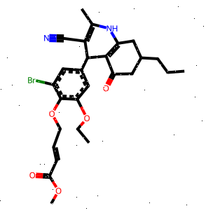 CCCC1CC(=O)C2=C(C1)NC(C)=C(C#N)C2c1cc(Br)c(OC/C=C/C(=O)OC)c(OCC)c1